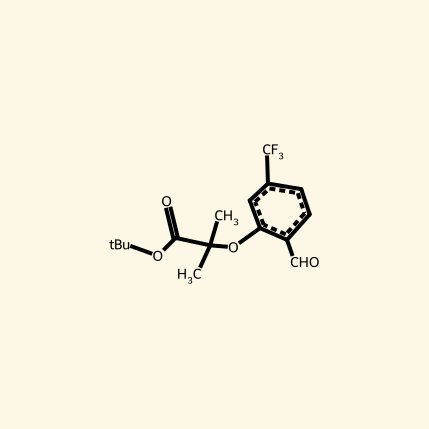 CC(C)(C)OC(=O)C(C)(C)Oc1cc(C(F)(F)F)ccc1C=O